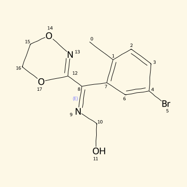 Cc1ccc(Br)cc1/C(=N\CO)C1=NOCCO1